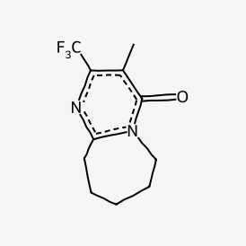 Cc1c(C(F)(F)F)nc2n(c1=O)CCCCC2